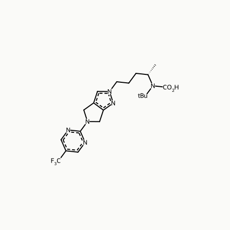 C[C@@H](CCCn1cc2c(n1)CN(c1ncc(C(F)(F)F)cn1)C2)N(C(=O)O)C(C)(C)C